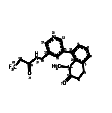 CN1C(=O)CCc2cccc(-c3cncc(CNC(=O)CC(F)(F)F)c3)c21